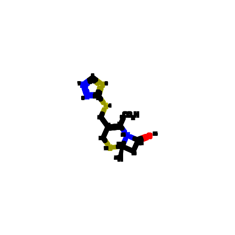 O=C(O)C1=C(CSc2nncs2)CS[C@H]2CC(=O)N12